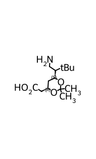 CC1(C)O[C@@H](CC(=O)O)C[C@@H](C(CN)C(C)(C)C)O1